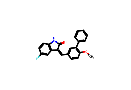 COc1ccc(C=C2C(=O)Nc3ccc(F)cc32)cc1-c1ccccc1